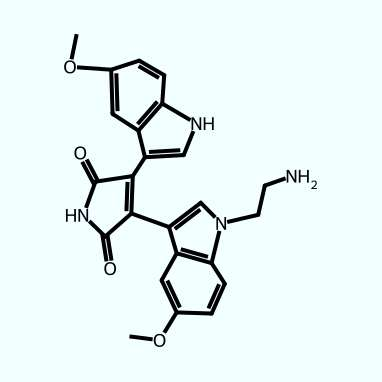 COc1ccc2[nH]cc(C3=C(c4cn(CCN)c5ccc(OC)cc45)C(=O)NC3=O)c2c1